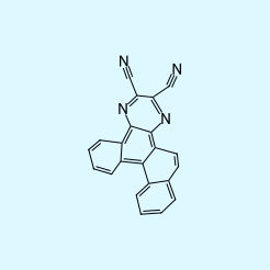 N#Cc1nc2c3ccccc3c3c4ccccc4ccc3c2nc1C#N